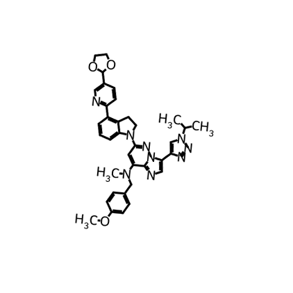 COc1ccc(CN(C)c2cc(N3CCc4c(-c5ccc(C6OCCO6)cn5)cccc43)nn3c(-c4cn(C(C)C)nn4)cnc23)cc1